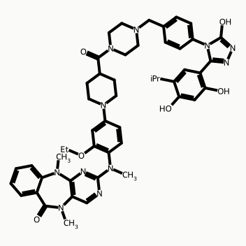 CCOc1cc(N2CCC(C(=O)N3CCN(Cc4ccc(-n5c(O)nnc5-c5cc(C(C)C)c(O)cc5O)cc4)CC3)CC2)ccc1N(C)c1ncc2c(n1)N(C)c1ccccc1C(=O)N2C